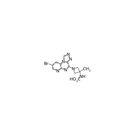 CC1(NC(=O)O)CN(c2nc3ncc(Br)cc3n3cnnc23)C1